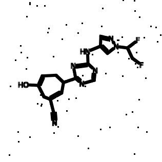 N#CC1=CC(c2ncnc(Nc3cnn(C(F)CF)c3)n2)CC=C(O)C1